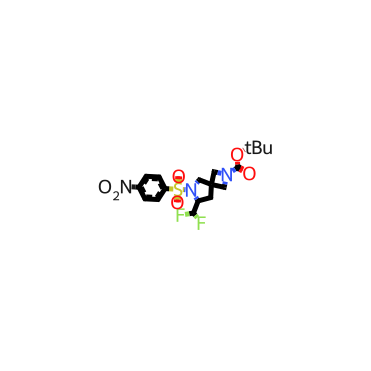 CC(C)(C)OC(=O)N1CC2(CC(C(F)F)N(S(=O)(=O)c3ccc([N+](=O)[O-])cc3)C2)C1